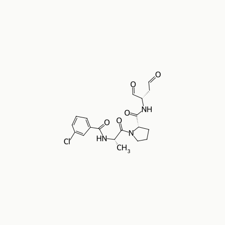 C[C@H](NC(=O)c1cccc(Cl)c1)C(=O)N1CCC[C@H]1C(=O)N[C@H](C=O)CC=O